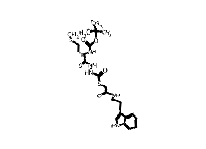 CSCC[C@H](NC(=O)OC(C)(C)C)C(=O)NNC(=O)SCC(=O)NCCc1c[nH]c2ccccc12